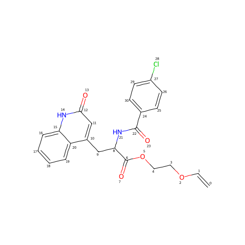 C=COCCOC(=O)C(Cc1cc(=O)[nH]c2ccccc12)NC(=O)c1ccc(Cl)cc1